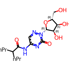 CCCC(CCC)C(=O)Nc1cnn([C@@H]2O[C@H](CO)[C@@H](O)[C@H]2O)c(=O)n1